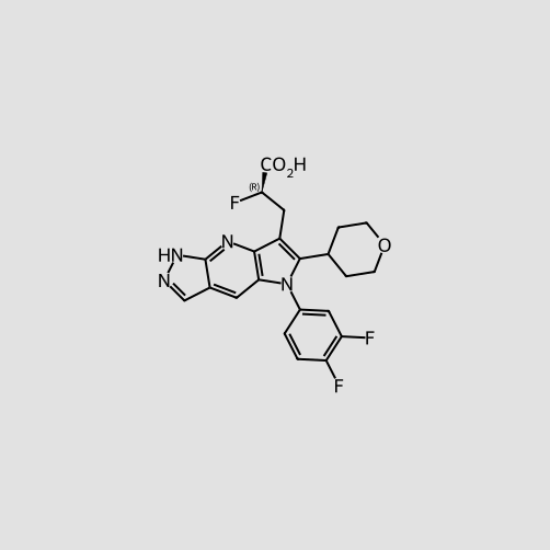 O=C(O)[C@H](F)Cc1c(C2CCOCC2)n(-c2ccc(F)c(F)c2)c2cc3cn[nH]c3nc12